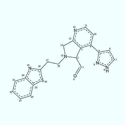 O=CC1c2c(-c3cc[nH]n3)ccnc2CN1CCc1nc2ccccc2s1